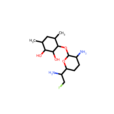 CC1CC(C)C(OC2OC(C(N)CF)CCC2N)C(O)C1O